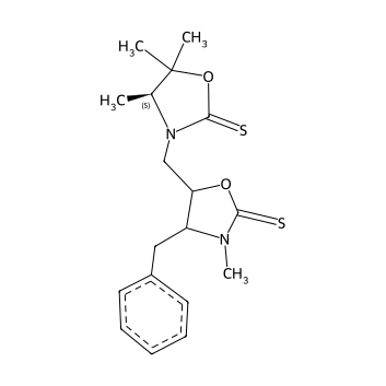 C[C@@H]1N(CC2OC(=S)N(C)C2Cc2ccccc2)C(=S)OC1(C)C